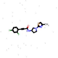 Cc1csc(N2CCC(NC(=O)C#Cc3ccc(F)cc3F)C2)n1